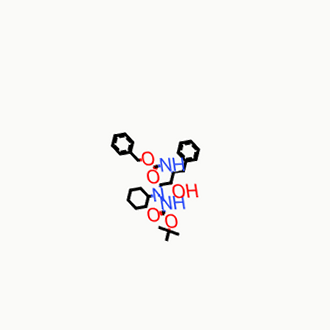 CC(C)(C)OC(=O)NN(C[C@H](O)[C@H](Cc1ccccc1)NC(=O)OCc1ccccc1)C1CCCCC1